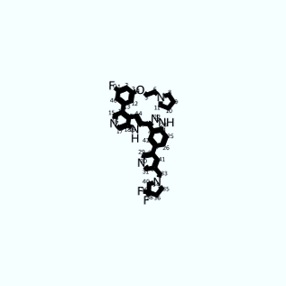 Fc1cc(OCCN2CCCC2)cc(-c2cncc3[nH]c(-c4n[nH]c5ccc(-c6cncc(CN7CCC(F)(F)C7)c6)cc45)cc23)c1